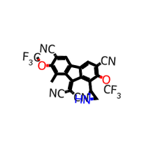 Cc1c(OC(F)(F)F)c(C#N)cc2c1C(=C(C#N)C#N)c1c-2cc(C#N)c(OC(F)(F)F)c1C1CN1